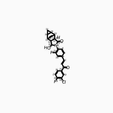 O=C(/C=C/c1ccc(N2C(=O)[C@@H]3C4C=CC(C5CC54)C3C2O)c(F)c1)c1ccc(F)c(Cl)c1